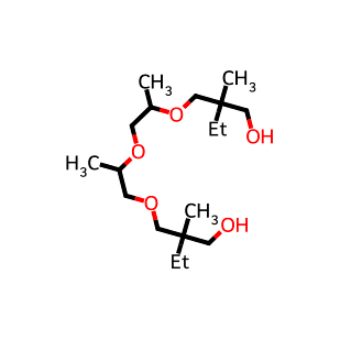 CCC(C)(CO)COCC(C)OCC(C)OCC(C)(CC)CO